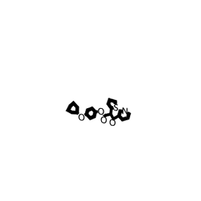 O=C(Oc1ccc(Oc2ccccc2)cc1)C(C(=O)c1cccnc1)c1cccs1